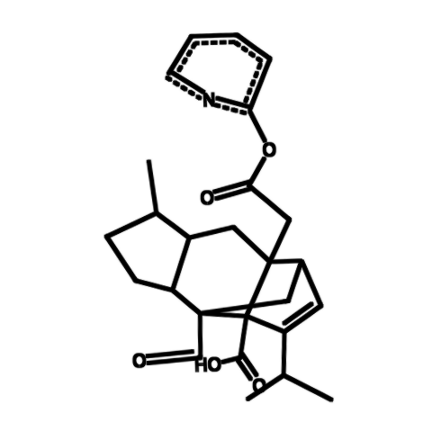 CC(C)C1=CC2CC3(C=O)C4CCC(C)C4CC2(CC(=O)Oc2ccccn2)C13C(=O)O